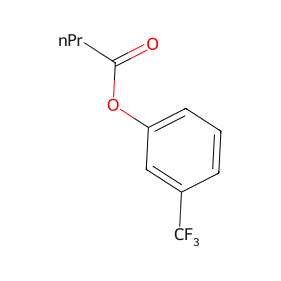 CCCC(=O)Oc1cccc(C(F)(F)F)c1